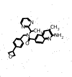 Cc1cc2cc(C(=O)N(Cc3ccc(C4COC4)cc3)C(C)c3ncccn3)ccc2nc1N